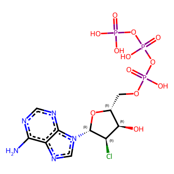 Nc1ncnc2c1ncn2[C@@H]1O[C@H](COP(=O)(O)OP(=O)(O)OP(=O)(O)O)[C@@H](O)[C@H]1Cl